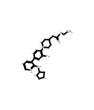 CCOC(=O)CC1CCN(c2ccc(-c3cccnc3OC3CCCC3)cc2F)CC1